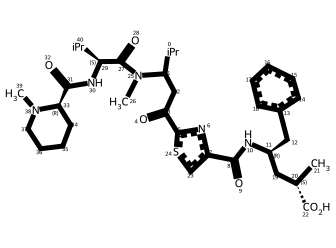 CC(C)C(CC(=O)c1nc(C(=O)N[C@@H](Cc2ccccc2)C[C@H](C)C(=O)O)cs1)N(C)C(=O)[C@@H](NC(=O)[C@H]1CCCCN1C)C(C)C